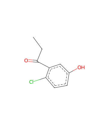 CCC(=O)c1cc(O)ccc1Cl